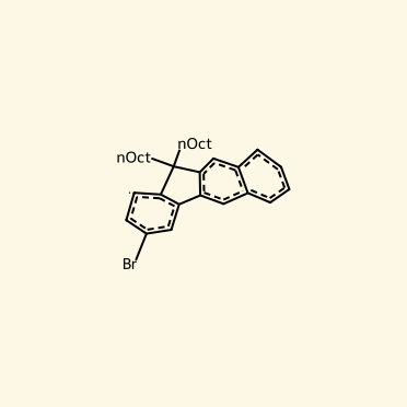 CCCCCCCCC1(CCCCCCCC)c2[c]cc(Br)cc2-c2cc3ccccc3cc21